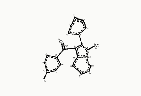 CC(=O)c1c(-c2ccccc2)c(C(=O)c2ccc(C)cc2)c2ccccn12